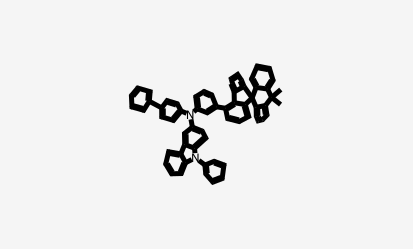 CC1(C)c2ccccc2C2(c3ccccc3-c3c(-c4cccc(N(c5ccc(-c6ccccc6)cc5)c5ccc6c(c5)c5ccccc5n6-c5ccccc5)c4)cccc32)c2ccccc21